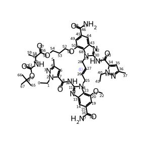 CCn1nc(C)cc1C(=O)Nc1nc2cc(C(N)=O)cc(OC)c2n1C/C=C/Cn1c(NC(=O)c2cc(C)nn2CC)nc2cc(C(N)=O)cc(OCCCOC(=O)[C@H](C)NC(=O)OC(C)(C)C)c21